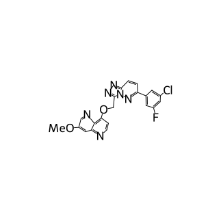 COc1cnc2c(OCc3nnc4ccc(-c5cc(F)cc(Cl)c5)nn34)ccnc2c1